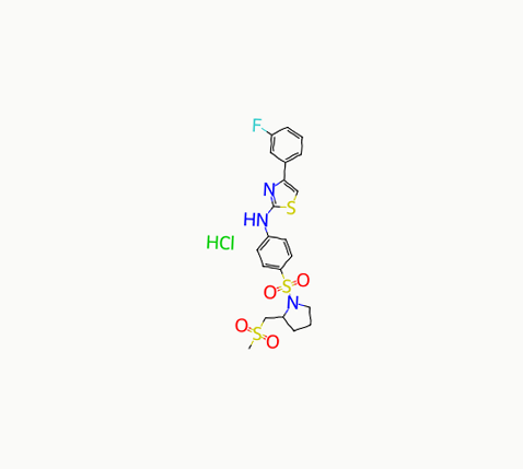 CS(=O)(=O)CC1CCCN1S(=O)(=O)c1ccc(Nc2nc(-c3cccc(F)c3)cs2)cc1.Cl